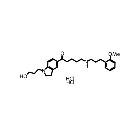 COc1ccccc1CCCNCCCCC(=O)c1ccc2c(c1)CCN2CCCO.Cl.Cl